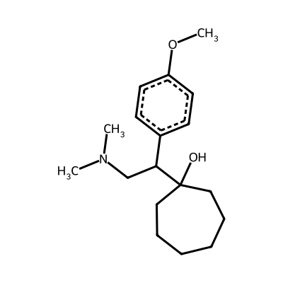 COc1ccc(C(CN(C)C)C2(O)CCCCCC2)cc1